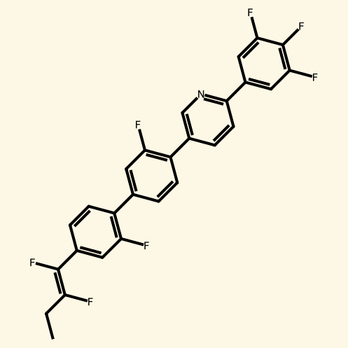 CC/C(F)=C(\F)c1ccc(-c2ccc(-c3ccc(-c4cc(F)c(F)c(F)c4)nc3)c(F)c2)c(F)c1